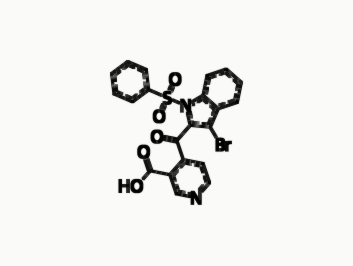 O=C(O)c1cnccc1C(=O)c1c(Br)c2ccccc2n1S(=O)(=O)c1ccccc1